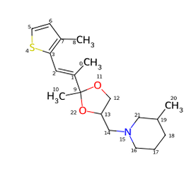 CC(=Cc1sccc1C)C1(C)OCC(CN2CCCC(C)C2)O1